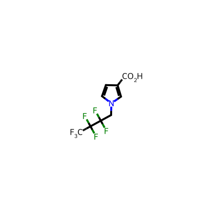 O=C(O)c1ccn(CC(F)(F)C(F)(F)C(F)(F)F)c1